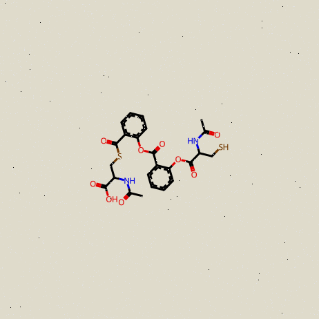 CC(=O)NC(CSC(=O)c1ccccc1OC(=O)c1ccccc1OC(=O)C(CS)NC(C)=O)C(=O)O